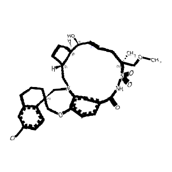 COC[C@]1(C)C/C=C/[C@H](O)[C@@H]2CC[C@H]2CN2C[C@@]3(CCCc4cc(Cl)ccc43)COc3ccc(cc32)C(=O)NS1(=O)=O